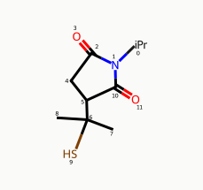 CC(C)N1C(=O)CC(C(C)(C)S)C1=O